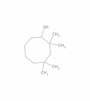 CC1(C)CCCCC(S)C(C)(C)C1